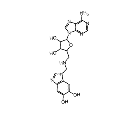 Nc1ncnc2c1ncn2C1OC(CNCn2cnc3cc(O)c(O)cc32)C(O)C1O